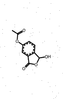 CC(=O)Oc1ccc2c(c1)C(=O)OC2O